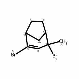 CC1(Br)C=C(Br)C2CCC1C2